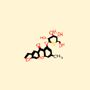 Cc1cc(O)c(C(=O)c2ccc3occc3c2)c(O[C@@H]2S[C@H](CO)[C@@H](O)[C@H](O)[C@H]2O)c1